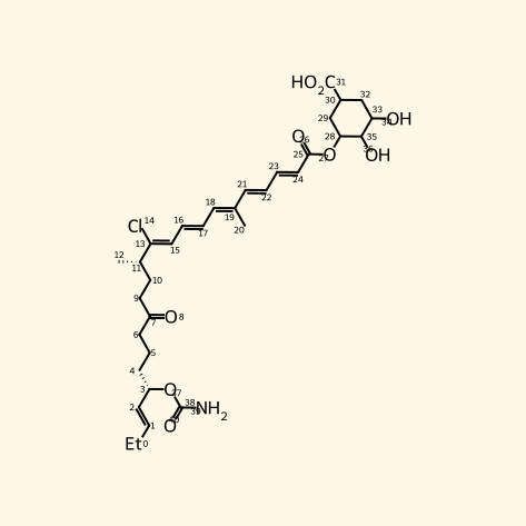 CC/C=C/[C@H](CCCC(=O)CC[C@H](C)/C(Cl)=C/C=C/C=C(C)/C=C/C=C/C(=O)OC1CC(C(=O)O)CC(O)C1O)OC(N)=O